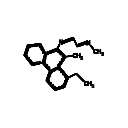 CCc1cccc2c1c(C)c(/N=C\C=N\C)c1ccccc12